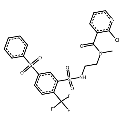 CN(CCNS(=O)(=O)c1cc(S(=O)(=O)c2ccccc2)ccc1C(F)(F)F)C(=O)c1cccnc1Cl